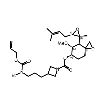 C=CCOC(=O)N(CC)CCCC1CN(C(=O)O[C@@H]2CC[C@]3(CO3)C([C@@]3(C)O[C@@H]3CC=C(C)C)[C@@H]2OC)C1